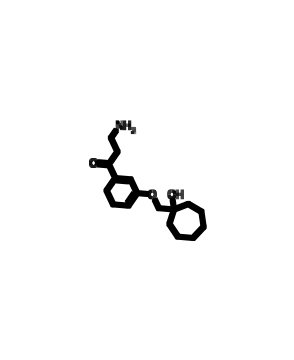 NCCC(=O)C1=CC(OCC2(O)CCCCCC2)=CCC1